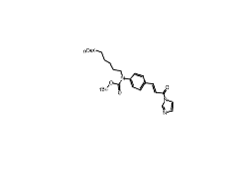 CCCCCCCCCCCCCCCN(C(=O)OC(C)(C)C)c1ccc(/C=C/C(=O)n2ccnc2)cc1